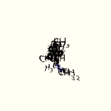 C=C/C(C)=C\C=C(/C)CONC(=O)[C@@H]1c2ccccc2C(=O)N(C2CCCC[C@@H]2NS(C)(=O)=O)[C@H]1c1ccc(Cl)cc1Cl